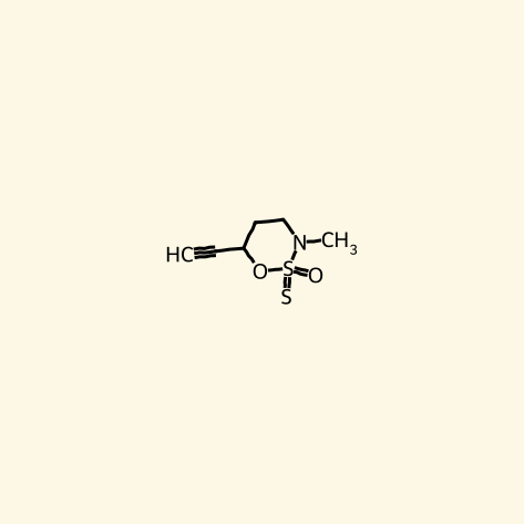 C#CC1CCN(C)S(=O)(=S)O1